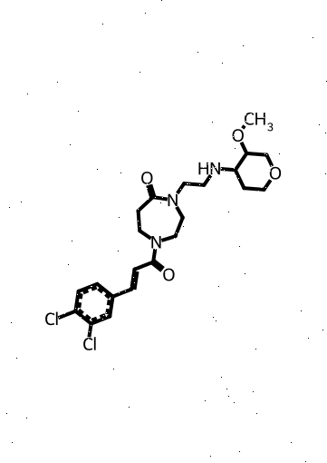 COC1COCCC1NCCN1CCN(C(=O)C=Cc2ccc(Cl)c(Cl)c2)CCC1=O